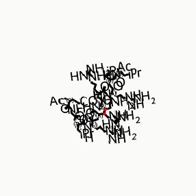 CC(=O)C[C@@H](CCC(=O)O)C(=O)NCC(=O)C[C@@H](CC(C)C)C(=O)N[C@@H](CCCNC(=N)N)C(=O)C[C@@H](CCCCN)C(=O)N[C@@H](CCCNC(=N)N)C(=O)C[C@@H](CCCNC(=N)N)C(=O)N[C@@H](CCCNC(=N)N)C(=O)C[C@@H](CC(C)C)C(=O)N[C@@H](CC(C)C)C(C)=O